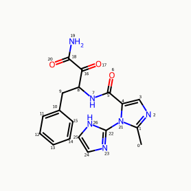 Cc1ncc(C(=O)NC(Cc2ccccc2)C(=O)C(N)=O)n1-c1ncc[nH]1